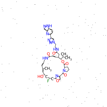 CC1=C\C(O)CC(F)Cc2nc(co2)C(=O)N2CCCC2C(=O)OC(C(C)C)C(CC(=O)NCCn2cc(-c3ccc4[nH]ncc4n3)nn2)/C=C/C(=O)NC\C=C\1